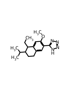 CCC1c2cc(OC)c(-c3nnn[nH]3)cc2CCC1C(C)C